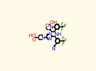 CC[C@@H]1C[C@H](NC(c2cc(C#N)cc(C(F)(F)F)c2)c2ncc(N3CCC(C(=O)O)CC3)cn2)c2cc(C(F)(F)F)ccc2N1C(=O)O